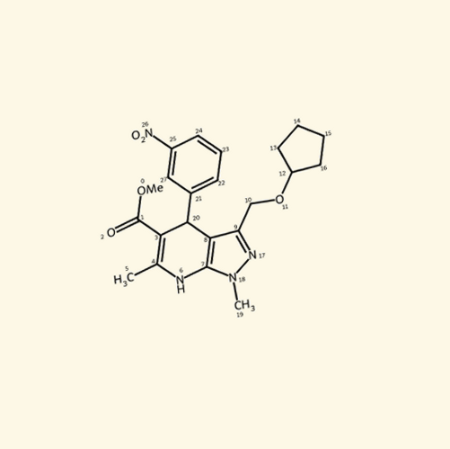 COC(=O)C1=C(C)Nc2c(c(COC3CCCC3)nn2C)C1c1cccc([N+](=O)[O-])c1